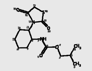 CC(C)COC(=O)NC1CCCCC1N1C(=O)CSC1=O